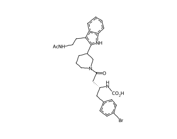 CC(=O)NCCc1c(C2CCCN(C(=O)C[C@@H](Cc3ccc(Br)cc3)NC(=O)O)C2)[nH]c2ccccc12